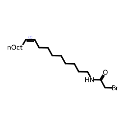 CCCCCCCC/C=C\CCCCCCCCNC(=O)CBr